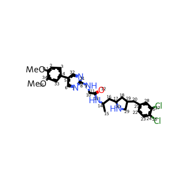 COc1ccc(-c2cnc(NCC(=O)NC(C)CC3CC(Cc4ccc(Cl)c(Cl)c4)CN3)nc2)cc1OC